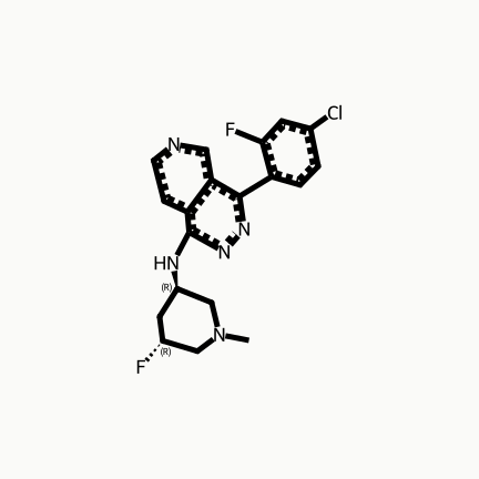 CN1C[C@H](F)C[C@@H](Nc2nnc(-c3ccc(Cl)cc3F)c3cnccc23)C1